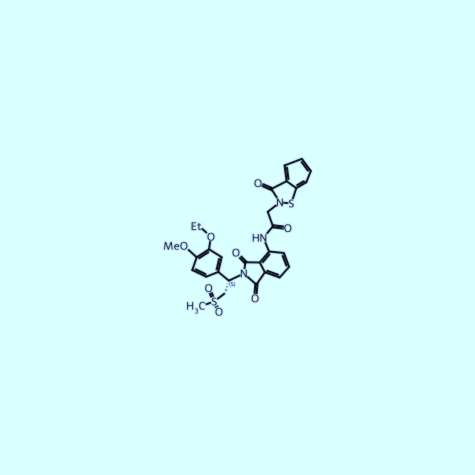 CCOc1cc([C@@H](CS(C)(=O)=O)N2C(=O)c3cccc(NC(=O)Cn4sc5ccccc5c4=O)c3C2=O)ccc1OC